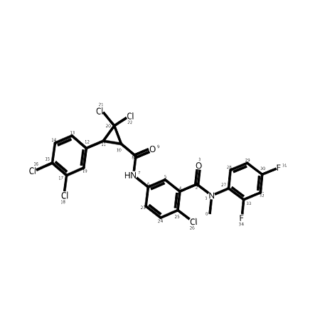 CN(C(=O)c1cc(NC(=O)C2C(c3ccc(Cl)c(Cl)c3)C2(Cl)Cl)ccc1Cl)c1ccc(F)[c]c1F